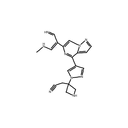 CN/C=C(\C=N)c1cn2nccc2c(-c2cnn(C3(CC#N)CNC3)c2)n1